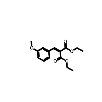 CCOC(=O)C(=Cc1cccc(OC)c1)C(=O)OCC